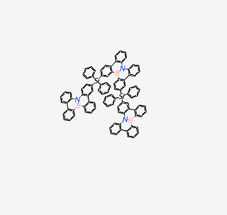 c1ccc([Si](c2ccccc2)(c2ccc3c(c2)B2c4ccc([Si](c5ccccc5)(c5ccccc5)c5ccc6c(c5)-c5ccccc5B5c7ccccc7-c7ccccc7N56)cc4-c4ccccc4N2c2ccccc2-3)c2ccc3c(c2)-c2ccccc2B2c4ccccc4-c4ccccc4N23)cc1